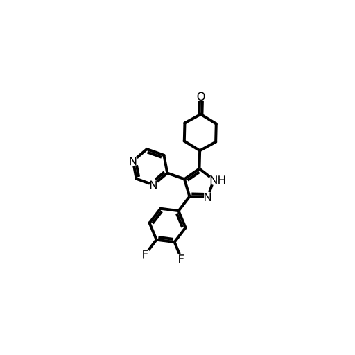 O=C1CCC(c2[nH]nc(-c3ccc(F)c(F)c3)c2-c2ccncn2)CC1